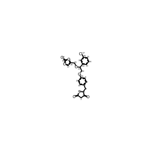 O=C1CC(=O)C(Cc2ccc(OCC(OCc3coc(=O)o3)c3cccc(Cl)c3)cc2)S1